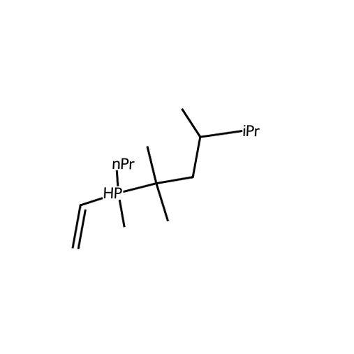 C=C[PH](C)(CCC)C(C)(C)CC(C)C(C)C